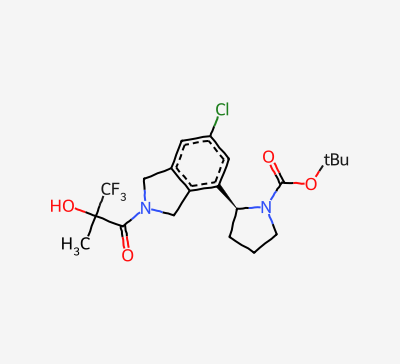 CC(C)(C)OC(=O)N1CCC[C@H]1c1cc(Cl)cc2c1CN(C(=O)C(C)(O)C(F)(F)F)C2